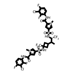 CC(C1CC(NS(=O)(=O)c2cc(C(=O)Nc3ccc(F)c(Cl)c3F)n(C)c2)(C(F)(F)F)C1)[C@H](NS(=O)(=O)c1cc(C(=O)Nc2ccc(F)c(Cl)c2F)n(C)c1)C(F)(F)F